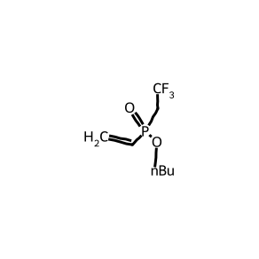 C=CP(=O)(CC(F)(F)F)OCCCC